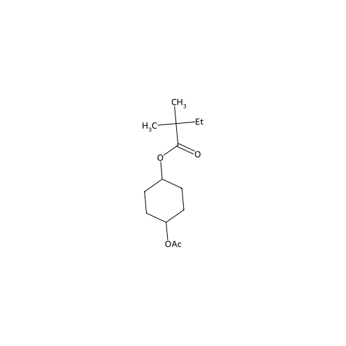 CCC(C)(C)C(=O)OC1CCC(OC(C)=O)CC1